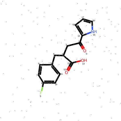 O=C(CC(Cc1ccc(F)cc1)C(=O)O)c1ccc[nH]1